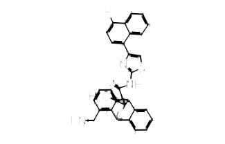 CC1(C(=O)Nc2nc(-c3ccc(F)c4ccccc34)cs2)CC2c3ccccc3C1c1cccc(CN)c12